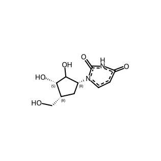 O=c1ccn([C@@H]2C[C@H](CO)[C@H](O)C2O)c(=O)[nH]1